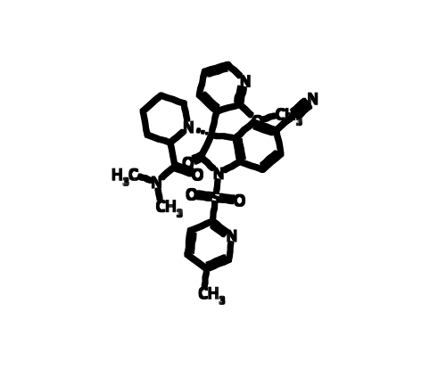 COc1ncccc1[C@]1(N2CCCCC2C(=O)N(C)C)C(=O)N(S(=O)(=O)c2ccc(C)cn2)c2ccc(C#N)cc21